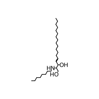 CCCCCCCCCCCCCC=CC(O)C(CO)NCCCCCCCC